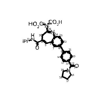 CC(C)NC(=O)C1=Cc2cc(-c3ccc(C(=O)N4CCCC4)cc3)ccc2N=C(N(C(=O)O)C(=O)O)C1